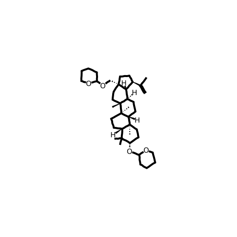 C=C(C)[C@@H]1CC[C@]2(COC3CCCCO3)CC[C@]3(C)[C@H](CC[C@@H]4[C@@]5(C)CC[C@H](OC6CCCCO6)C(C)(C)[C@@H]5CC[C@]43C)[C@@H]12